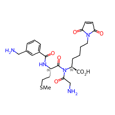 CSCC[C@H](NC(=O)c1cccc(CN)c1)C(=O)N(C(=O)CN)[C@@H](CCCCN1C(=O)C=CC1=O)C(=O)O